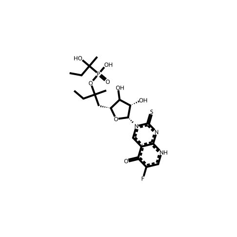 CCC(C)(C[C@H]1O[C@@H](n2cc3c(=O)c(F)c[nH]c3nc2=S)[C@@H](O)C1O)OP(=O)(O)C(C)(O)CC